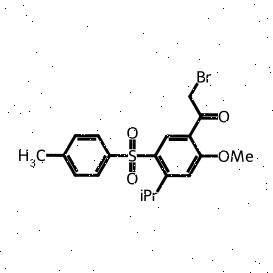 COc1cc(C(C)C)c(S(=O)(=O)c2ccc(C)cc2)cc1C(=O)CBr